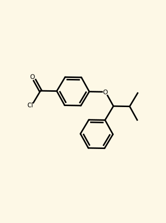 CC(C)C(Oc1ccc(C(=O)Cl)cc1)c1ccccc1